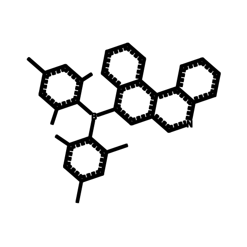 Cc1cc(C)c(B(c2c(C)cc(C)cc2C)c2cc3cnc4ccccc4c3c3ccccc23)c(C)c1